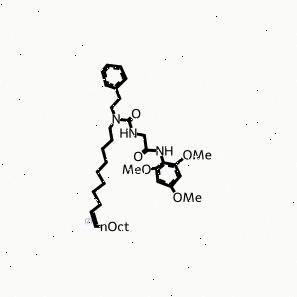 CCCCCCCC/C=C\CCCCCCCCN(CCc1ccccc1)C(=O)NCC(=O)Nc1c(OC)cc(OC)cc1OC